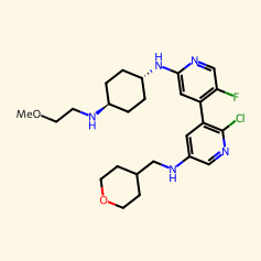 COCCN[C@H]1CC[C@H](Nc2cc(-c3cc(NCC4CCOCC4)cnc3Cl)c(F)cn2)CC1